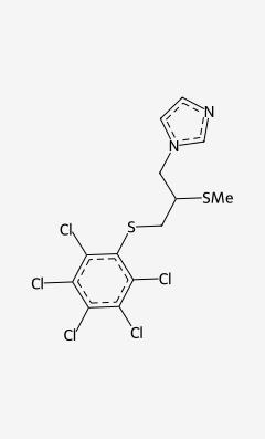 CSC(CSc1c(Cl)c(Cl)c(Cl)c(Cl)c1Cl)Cn1ccnc1